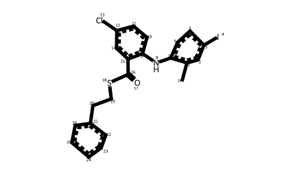 Cc1cc(I)ccc1Nc1ccc(Cl)cc1C(=O)SCCc1ccccc1